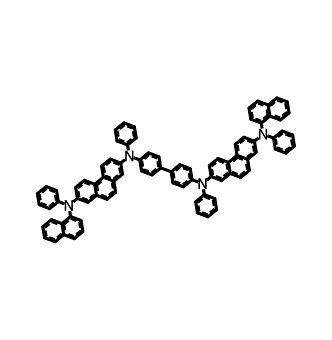 c1ccc(N(c2ccc(-c3ccc(N(c4ccccc4)c4ccc5c(ccc6cc(N(c7ccccc7)c7cccc8ccccc78)ccc65)c4)cc3)cc2)c2ccc3c(ccc4cc(N(c5ccccc5)c5cccc6ccccc56)ccc43)c2)cc1